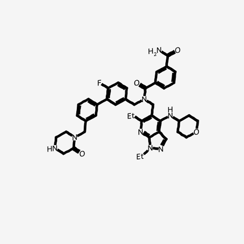 CCc1nc2c(cnn2CC)c(NC2CCOCC2)c1CN(Cc1ccc(F)c(-c2cccc(CN3CCNCC3=O)c2)c1)C(=O)c1cccc(C(N)=O)c1